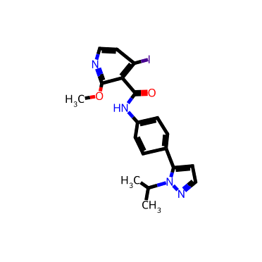 COc1nccc(I)c1C(=O)Nc1ccc(-c2ccnn2C(C)C)cc1